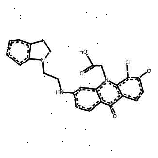 O=C(O)Cn1c2cc(NCCN3CCc4ccccc43)ccc2c(=O)c2ccc(Cl)c(Cl)c21